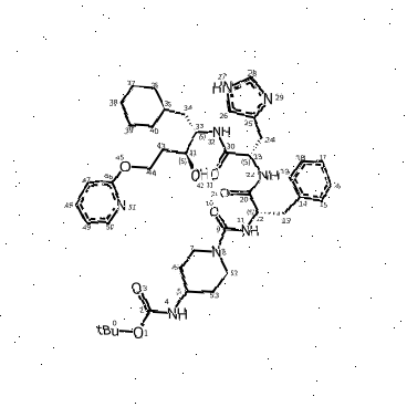 CC(C)(C)OC(=O)NC1CCN(C(=O)N[C@@H](Cc2ccccc2)C(=O)N[C@@H](Cc2c[nH]cn2)C(=O)N[C@@H](CC2CCCCC2)[C@@H](O)CCOc2ccccn2)CC1